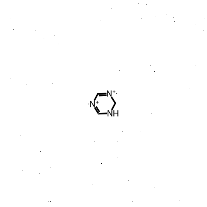 C1=[N+]C=[N+]CN1